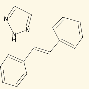 C(=Cc1ccccc1)c1ccccc1.c1cn[nH]n1